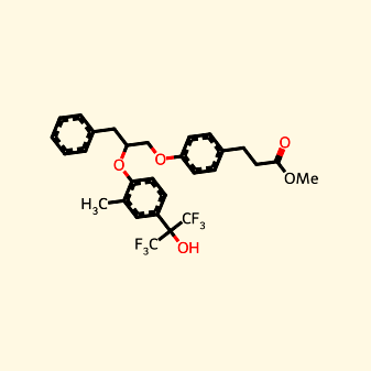 COC(=O)CCc1ccc(OCC(Cc2ccccc2)Oc2ccc(C(O)(C(F)(F)F)C(F)(F)F)cc2C)cc1